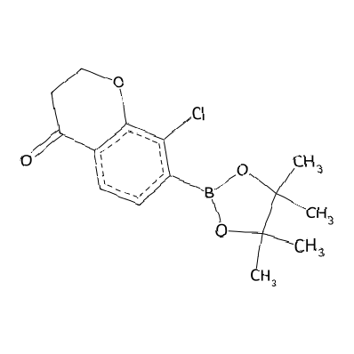 CC1(C)OB(c2ccc3c(c2Cl)OCCC3=O)OC1(C)C